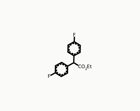 CCOC(=O)C(c1ccc(F)cc1)c1ccc(F)cc1